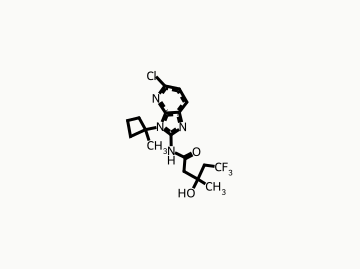 CC(O)(CC(=O)Nc1nc2ccc(Cl)nc2n1C1(C)CCC1)CC(F)(F)F